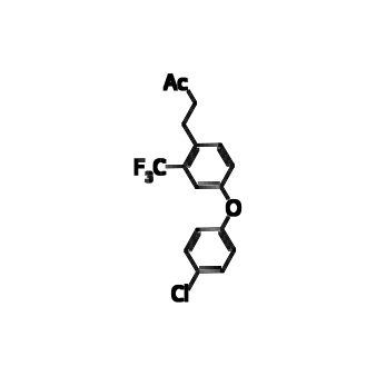 CC(=O)CCc1ccc(Oc2ccc(Cl)cc2)cc1C(F)(F)F